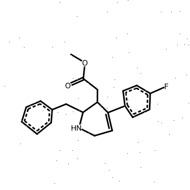 COC(=O)CC1C(c2ccc(F)cc2)=CCNC1Cc1ccccc1